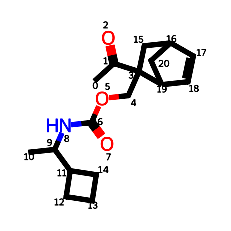 CC(=O)C1(COC(=O)NC(C)C2CCC2)CC2C=CC1C2